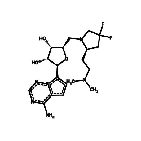 CN(C)CC[C@@H]1CC(F)(F)CN1C[C@H]1O[C@@H](c2ccc3c(N)ncnn23)[C@H](O)[C@@H]1O